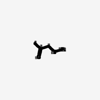 [CH2]CSCC(C)=O